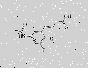 COc1c(F)cc(NC(C)=O)cc1/C=C/CC(=O)O